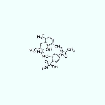 C=C(C)Cc1c(C)ccc(C)c1O.CC(=O)Nc1ccc([As](=O)(O)O)c(O)c1